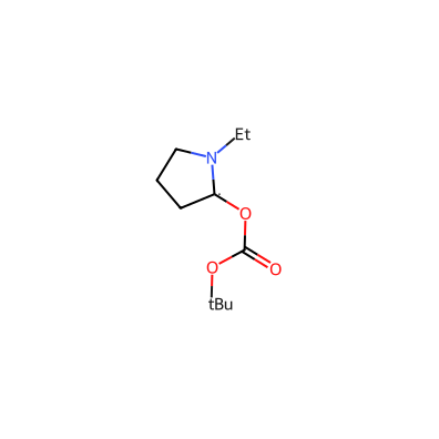 CCN1CCC[C]1OC(=O)OC(C)(C)C